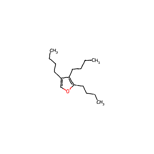 CCCCc1coc(CCCC)c1CCCC